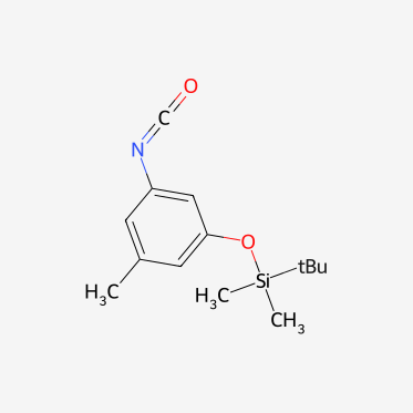 Cc1cc(N=C=O)cc(O[Si](C)(C)C(C)(C)C)c1